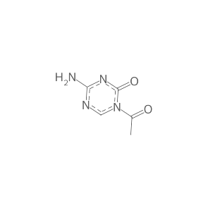 CC(=O)n1cnc(N)nc1=O